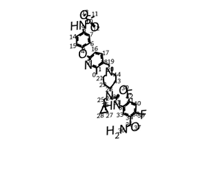 Cc1nc(Oc2ccc(NS(C)(=O)=O)cc2)ccc1CN1CCC(N(CC2CC2)C(=O)Nc2cc(C(N)=O)c(F)cc2F)CC1